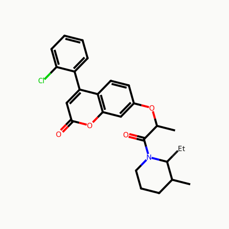 CCC1C(C)CCCN1C(=O)C(C)Oc1ccc2c(-c3ccccc3Cl)cc(=O)oc2c1